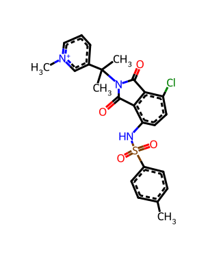 Cc1ccc(S(=O)(=O)Nc2ccc(Cl)c3c2C(=O)N(C(C)(C)c2ccc[n+](C)c2)C3=O)cc1